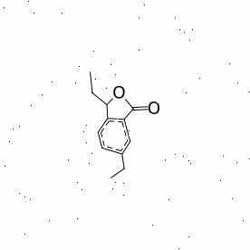 CCc1ccc2c(c1)C(=O)OC2CC